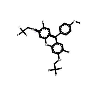 COc1ccc(C2=c3cc(F)/c(=B\CC(F)(F)F)cc3Oc3cc(NCC(F)(F)F)c(F)cc32)cc1